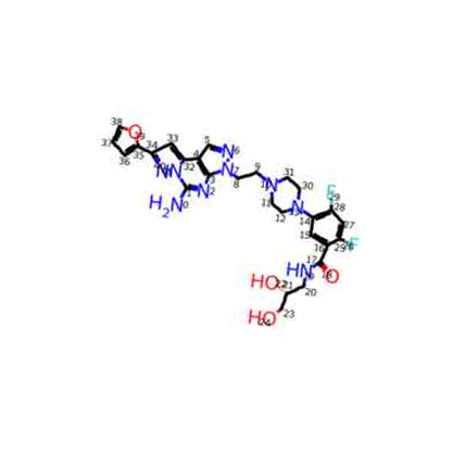 Nc1nc2c(cnn2CCN2CCN(c3cc(C(=O)NC[C@@H](O)CO)c(F)cc3F)CC2)c2cc(-c3ccco3)nn12